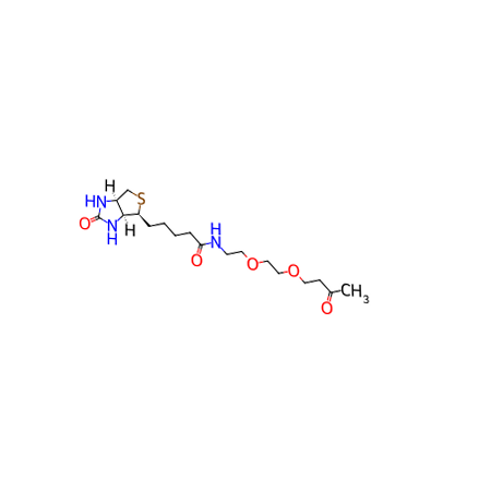 CC(=O)CCOCCOCCNC(=O)CCCC[C@@H]1SC[C@@H]2NC(=O)N[C@@H]21